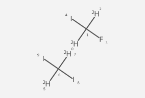 [2H]C([2H])(F)I.[2H]C([2H])(I)I